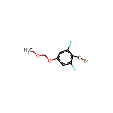 COCOc1cc(F)c(CBr)c(F)c1